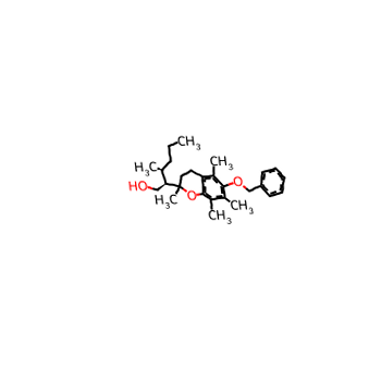 CCC[C@H](C)[C@H](CO)C1(C)CCc2c(C)c(OCc3ccccc3)c(C)c(C)c2O1